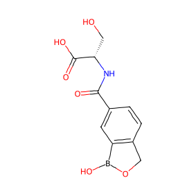 O=C(N[C@@H](CO)C(=O)O)c1ccc2c(c1)B(O)OC2